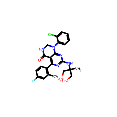 Cc1cc(F)ccc1-c1nc(NC(C)(CO)CO)nc2c1C(=O)NCN2c1ccccc1Cl